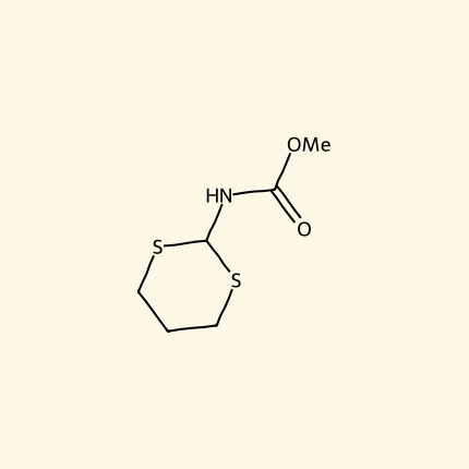 COC(=O)NC1SCCCS1